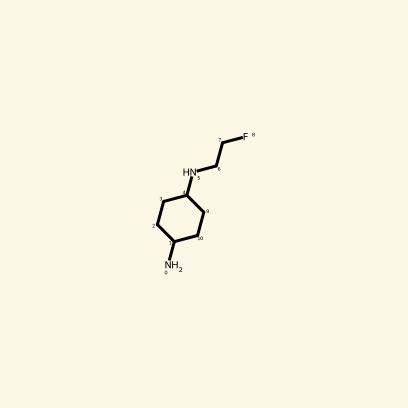 NC1CCC(NCCF)CC1